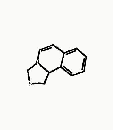 C1=CN2CSCC2c2ccccc21